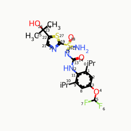 CC(C)c1cc(OC(F)F)cc(C(C)C)c1NC(=O)N=S(N)(=O)c1ncc(C(C)(C)O)s1